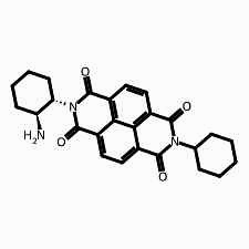 N[C@H]1CCCC[C@@H]1N1C(=O)c2ccc3c4c(ccc(c24)C1=O)C(=O)N(C1CCCCC1)C3=O